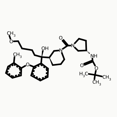 COCCCC[C@@](O)(c1ccccc1Oc1ccccc1C)[C@@H]1CCCN(C(=O)N2CC[C@H](NC(=O)OC(C)(C)C)C2)C1